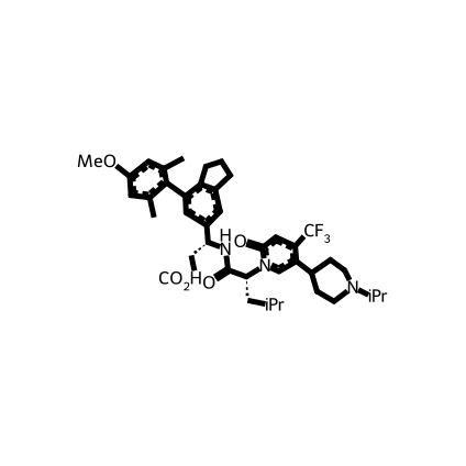 COc1cc(C)c(-c2cc([C@@H](CC(=O)O)NC(=O)[C@@H](CC(C)C)n3cc(C4CCN(C(C)C)CC4)c(C(F)(F)F)cc3=O)cc3c2CCC3)c(C)c1